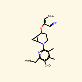 CN/C=C(\C=N)OC1CCN(c2nc(CNC)c(C=O)c(C)c2C)C2CC12